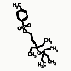 CCC(/C=C/COS(=O)(=O)c1ccc(C)cc1)(CC)O[Si](CC)(CC)CC